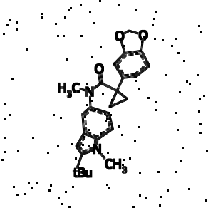 CN(C(=O)C1(c2ccc3c(c2)OCO3)CC1)c1ccc2c(c1)cc(C(C)(C)C)n2C